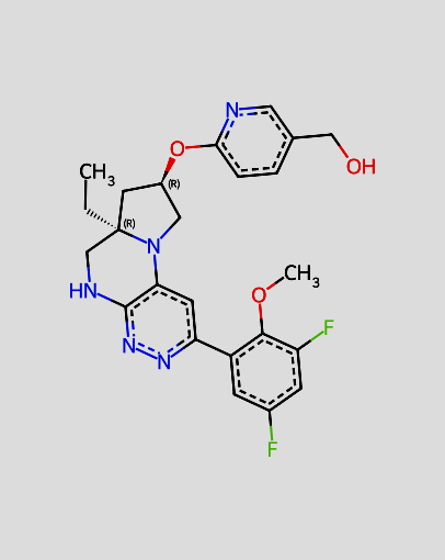 CC[C@@]12CNc3nnc(-c4cc(F)cc(F)c4OC)cc3N1C[C@H](Oc1ccc(CO)cn1)C2